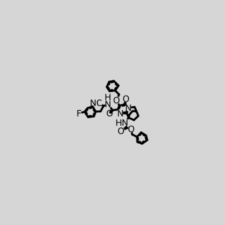 N#CC(Cc1ccc(F)cc1)NC(=O)c1nc2n(c(=O)c1OCc1ccccc1)CC1CCC2(NC(=O)OCc2ccccc2)CC1